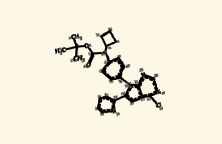 CC(C)(C)OC(=O)N(c1ccc(-n2c(-c3ccccn3)cc3c(Cl)ncnc32)cc1)C1CCC1